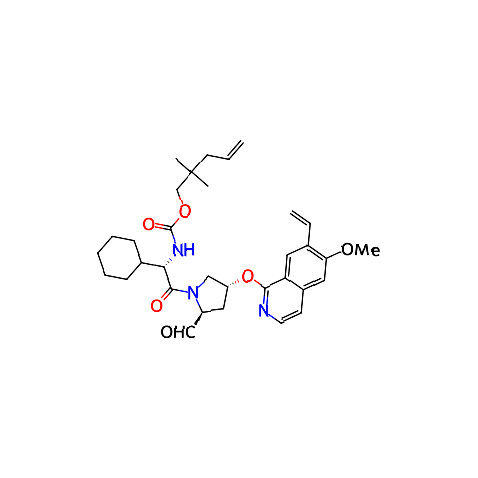 C=CCC(C)(C)COC(=O)N[C@H](C(=O)N1C[C@H](Oc2nccc3cc(OC)c(C=C)cc23)C[C@H]1C=O)C1CCCCC1